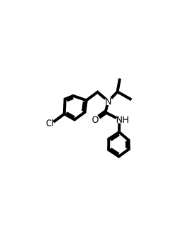 CC(C)N(Cc1ccc(Cl)cc1)C(=O)Nc1ccccc1